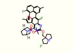 C#Cc1c(F)ccc2cc(C)cc(-c3c(F)c4nc(OC[C@@]56CCCN5C[C@H](F)C6)nc(N5C[C@H]6CC[C@@H](C5)N6C(=O)OC(C)(C)C)c4c4cc(C)oc34)c12